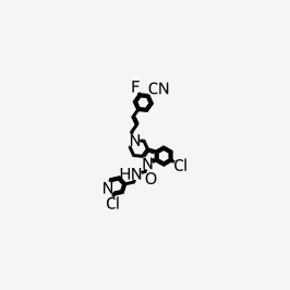 N#Cc1ccc(C=CCN2CCc3c(c4ccc(Cl)cc4n3C(=O)NCc3ccnc(Cl)c3)C2)cc1F